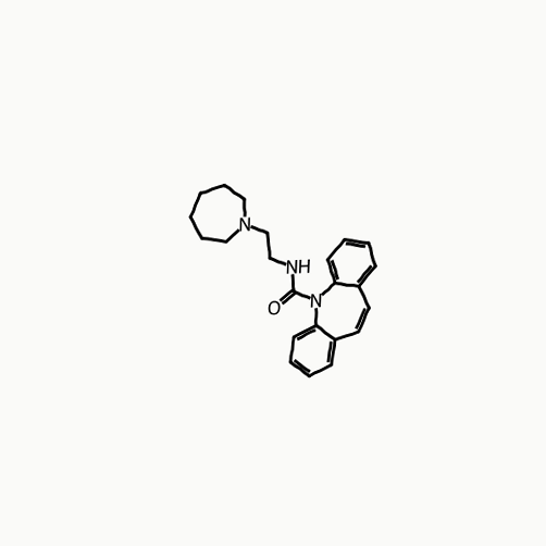 O=C(NCCN1CCCCCC1)N1c2ccccc2C=Cc2ccccc21